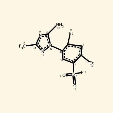 CCc1cc(CC)c(S(=O)(=O)F)cc1-n1nc(C(F)(F)F)nc1N